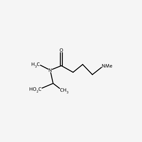 CNCCCC(=O)N(C)C(C)C(=O)O